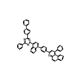 c1ccc(-c2ccc(-c3nc(-c4ccccc4)nc(-c4ccc(-c5ccc(-c6cc(-c7ccccc7)c7c(ccc8ccccc87)n6)cc5)c5ccccc45)n3)cc2)cc1